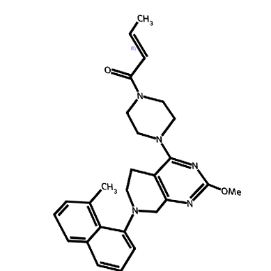 C/C=C/C(=O)N1CCN(c2nc(OC)nc3c2CCN(c2cccc4cccc(C)c24)C3)CC1